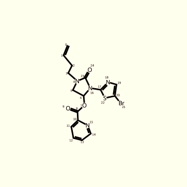 C=CCCN1CC(OC(=O)c2ccccn2)N(c2ncc(Br)s2)C1=O